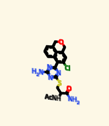 CC(=O)NC(CSc1nc(N)nc(-c2c(Cl)cc3c4c(cccc24)COC3)n1)C(N)=O